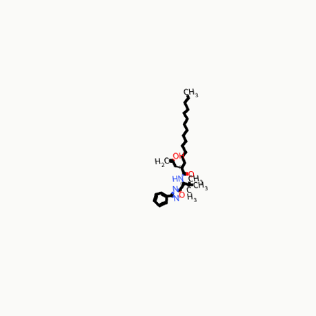 C=C(O)C[C@@H](CCCCCCCCCCCCCC)C(=O)N[C@H](c1nc(-c2ccccc2)no1)C(C)(C)C